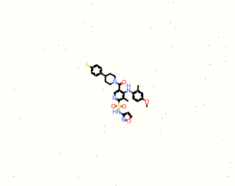 COc1ccc(Nc2c(C(=O)N3CCC(c4ccc(F)cc4)CC3)cnc(S(=O)(=O)Nc3ccon3)c2C)c(C)c1